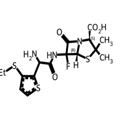 CCSc1ccsc1C(N)C(=O)NC1(F)C(=O)N2[C@@H](C(=O)O)C(C)(C)S[C@@H]21